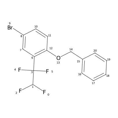 FC(F)C(F)(F)c1cc(Br)ccc1OCc1ccccc1